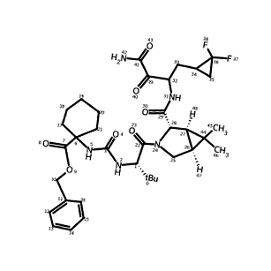 CC(C)(C)[C@H](NC(=O)NC1(C(=O)OCc2ccccc2)CCCCC1)C(=O)N1C[C@H]2[C@@H]([C@H]1C(=O)NC(CC1CC1(F)F)C(=O)C(N)=O)C2(C)C